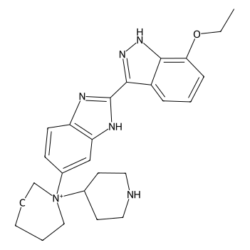 CCOc1cccc2c(-c3nc4ccc([N+]5(C6CCNCC6)CCCCC5)cc4[nH]3)n[nH]c12